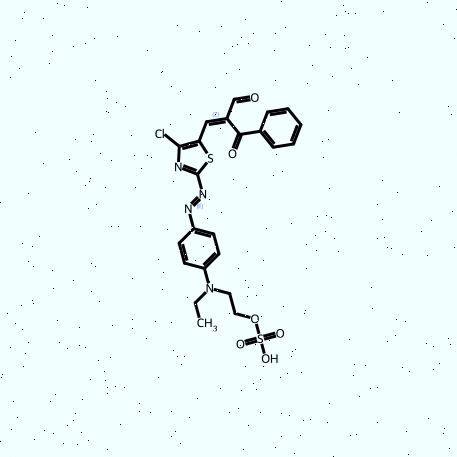 CCN(CCOS(=O)(=O)O)c1ccc(/N=N/c2nc(Cl)c(/C=C(/C=O)C(=O)c3ccccc3)s2)cc1